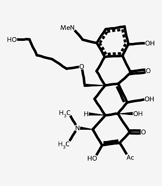 CNCc1ccc(O)c2c1C[C@@]1(COCCCCO)C[C@H]3[C@H](N(C)C)C(O)=C(C(C)=O)C(=O)[C@@]3(O)C(O)=C1C2=O